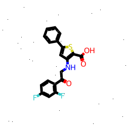 O=C(CNc1cc(-c2ccccc2)sc1C(=O)O)c1ccc(F)cc1F